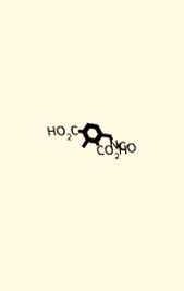 Cc1c(C(=O)O)ccc(CN=C=O)c1C(=O)O